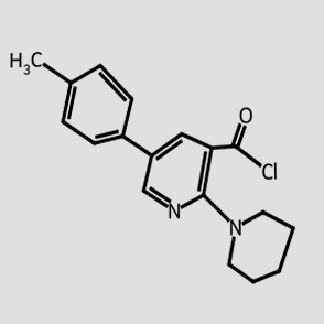 Cc1ccc(-c2cnc(N3CCCCC3)c(C(=O)Cl)c2)cc1